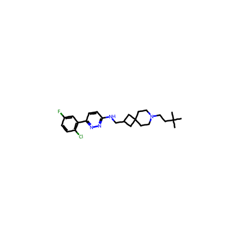 CC(C)(C)CCN1CCC2(CC1)CC(CNc1ccc(-c3cc(F)ccc3Cl)nn1)C2